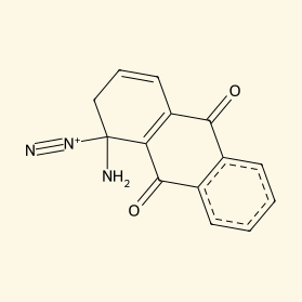 N#[N+]C1(N)CC=CC2=C1C(=O)c1ccccc1C2=O